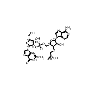 Nc1nc2c(ncn2[C@@H]2O[C@H](CO)[C@H](O)[C@@H]2OP(=O)(O)OC[C@H]2O[C@@H](n3cnc4c(N)ncnc43)C(O)C2OC[PH](=O)O)c(=O)[nH]1